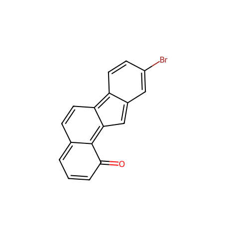 O=C1C=CC=c2ccc3c(c21)C=c1cc(Br)ccc1=3